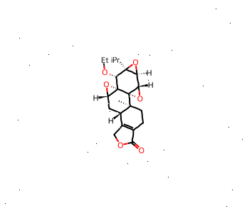 CCO[C@@H]1[C@@]2(C(C)C)O[C@H]2[C@@H]2O[C@]23[C@]12O[C@H]2C[C@H]1C2=C(CC[C@@]13C)C(=O)OC2